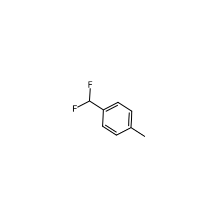 Cc1ccc(C(F)F)cc1